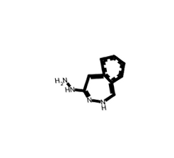 NNC1=NNC=c2ccccc2=C1